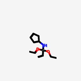 CCO[Si](CC)(NC1CCCC1)OCC